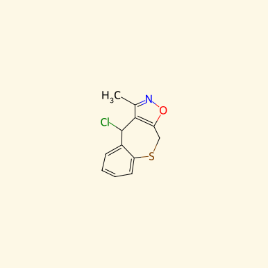 Cc1noc2c1C(Cl)c1ccccc1SC2